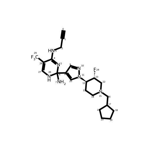 C#CCNC1=NC(N)(c2cnn([C@@H]3CCN(CC4CCCC4)C[C@H]3F)c2)NC=C1C(F)(F)F